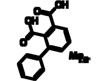 O=C(O)c1cccc(-c2ccccc2)c1C(=O)O.[La].[Mo]